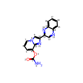 NC(=O)Oc1cccn2cc(-c3cnc4ccccc4n3)nc12